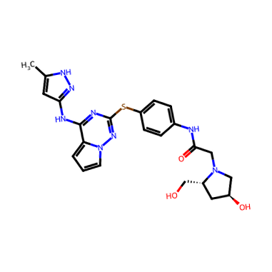 Cc1cc(Nc2nc(Sc3ccc(NC(=O)CN4C[C@@H](O)C[C@@H]4CO)cc3)nn3cccc23)n[nH]1